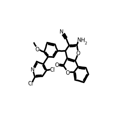 COc1ccc(C2C(C#N)=C(N)Oc3c2c(=O)oc2ccccc32)cc1-c1cnc(Cl)cc1Cl